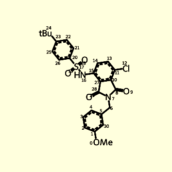 COc1cccc(CN2C(=O)c3c(Cl)ccc(NS(=O)(=O)c4ccc(C(C)(C)C)cc4)c3C2=O)c1